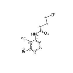 O=C(CCCCl)Nc1cccc(Br)c1F